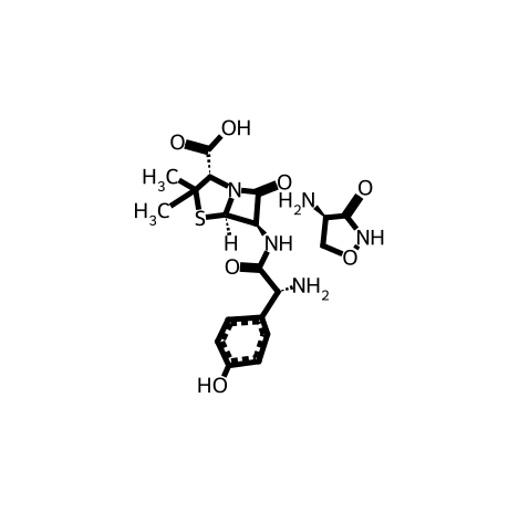 CC1(C)S[C@@H]2[C@H](NC(=O)[C@H](N)c3ccc(O)cc3)C(=O)N2[C@H]1C(=O)O.N[C@@H]1CONC1=O